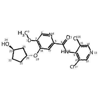 COc1cnc(C(=O)Nc2c(Cl)cncc2Cl)cc1O[C@@H]1CC[C@@H](O)C1